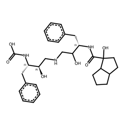 O=C(O)N[C@@H](Cc1ccccc1)[C@H](O)CNCC(O)[C@H](Cc1ccccc1)NC(=O)C1(O)CCC2CCCC21